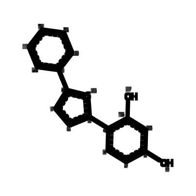 Oc1ccc(-c2ccc(-c3ccccc3)s2)c(O)c1